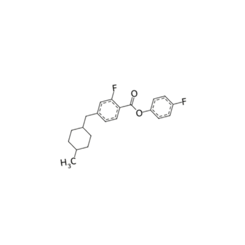 CC1CCC(Cc2ccc(C(=O)Oc3ccc(F)cc3)c(F)c2)CC1